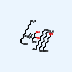 CC(=O)O.CC(=O)O.CC(=O)OCC(O)CO.CCCCCCCC/C=C\CCCCCCCC(=O)O.CCCCCCCCCCCCCCCCCC(=O)O.CCCCCCCCCCCCCCCCCC(=O)O.CCCCCCCCCCCCCCCCO